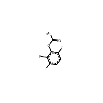 CCCC(=O)Oc1c(F)ccc(F)c1F